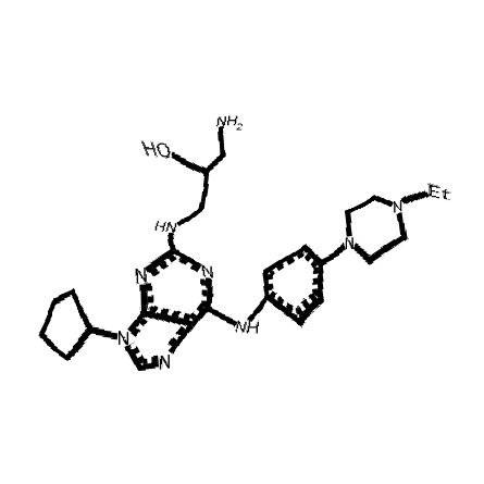 CCN1CCN(c2ccc(Nc3nc(NCC(O)CN)nc4c3ncn4C3CCCC3)cc2)CC1